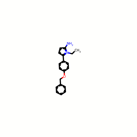 CCn1c(N)ccc1-c1ccc(OCc2ccccc2)cc1